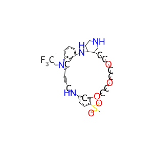 CS(=O)(=O)c1ccc2cc1OCCOCCOCCC1CNCCC1Nc1cccc3c1cc(n3CC(F)(F)F)C#CCN2